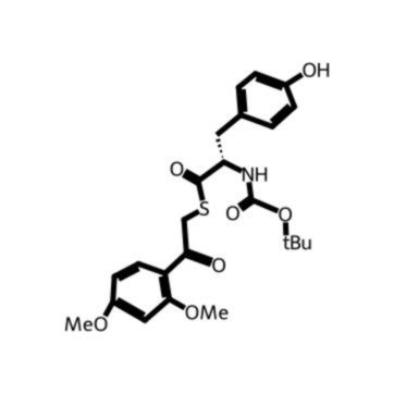 COc1ccc(C(=O)CSC(=O)[C@H](Cc2ccc(O)cc2)NC(=O)OC(C)(C)C)c(OC)c1